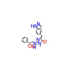 CN1C(=O)/C(=C/c2ccc3[nH]ncc3c2)N=C1NC[C@H](O)c1ccccc1